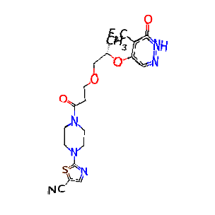 C[C@@H](COCCC(=O)N1CCN(c2ncc(C#N)s2)CC1)Oc1cn[nH]c(=O)c1C(F)(F)F